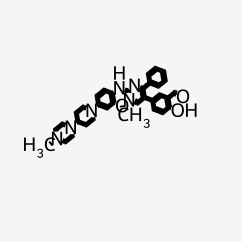 COc1cc(N2CCC(N3CCN(C)CC3)CC2)ccc1Nc1ncc(-c2ccc(O)c(C=O)c2)c(-c2ccccc2)n1